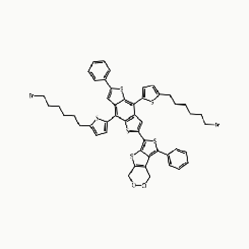 BrCCCCCCc1ccc(-c2c3cc(-c4sc(-c5ccccc5)c5c6c(sc45)COOC6)sc3c(-c3ccc(CCCCCCBr)s3)c3cc(-c4ccccc4)sc23)s1